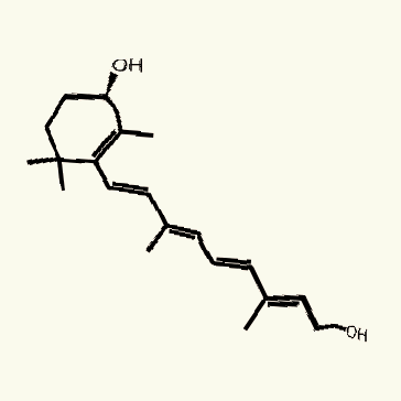 CC1=C(/C=C/C(C)=C/C=C/C(C)=C/CO)C(C)(C)CC[C@H]1O